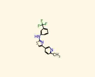 Cc1ccc(-c2csc(Nc3cccc(C(F)(F)F)c3)n2)cn1